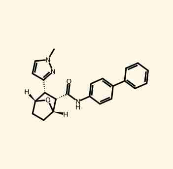 Cn1ccc([C@@H]2[C@H](C(=O)Nc3ccc(-c4ccccc4)cc3)[C@@H]3CC[C@H]2O3)n1